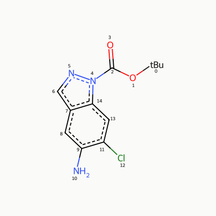 CC(C)(C)OC(=O)n1ncc2cc(N)c(Cl)cc21